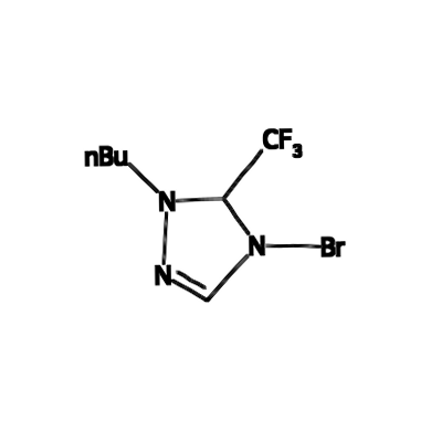 CCCCN1N=CN(Br)C1C(F)(F)F